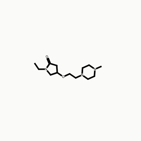 CCN1CC(OCCN2CCN(C)CC2)CC1=O